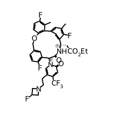 CCOC(=O)C[C@@H]1NC(=O)[C@@H](n2cc(CCN3CC(F)C3)c(C(F)(F)F)cc2=O)c2cc(ccc2F)COc2ccc(F)c(C)c2-c2cc(C)c(F)c1c2